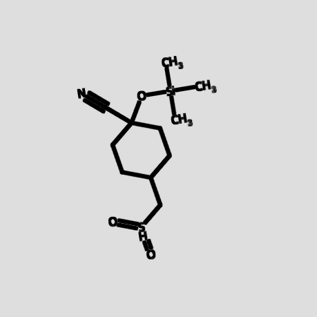 C[Si](C)(C)OC1(C#N)CCC(C[SH](=O)=O)CC1